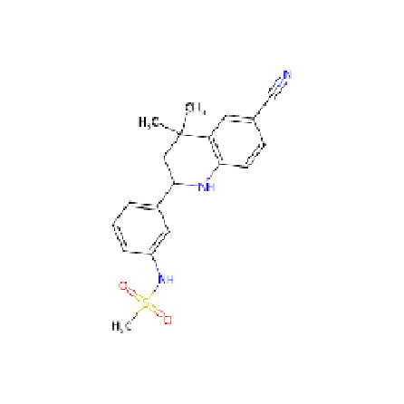 CC1(C)CC(c2cccc(NS(C)(=O)=O)c2)Nc2ccc(C#N)cc21